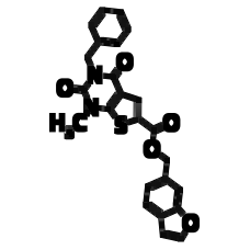 Cn1c(=O)n(Cc2ccccc2)c(=O)c2cc(C(=O)OCc3ccc4ccoc4c3)sc21